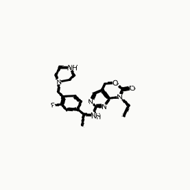 CCN1C(=O)OCc2cnc(NC(C)c3ccc(CN4CCNCC4)c(F)c3)nc21